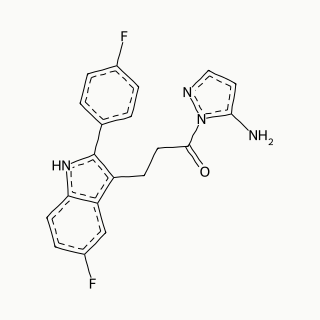 Nc1ccnn1C(=O)CCc1c(-c2ccc(F)cc2)[nH]c2ccc(F)cc12